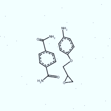 NC(=O)c1ccc(C(N)=O)cc1.Nc1ccc(OCC2CO2)cc1